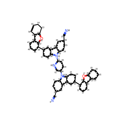 N#Cc1ccc2c(c1)c1cc(-c3cccc4c3oc3ccccc34)ccc1n2-c1ccc(-n2c3ccc(C#N)cc3c3cc(-c4cccc5c6c(oc45)CCC=C6)ccc32)nc1